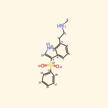 CNCCc1cccc2c(S(=O)(=O)c3ccccc3)c[nH]c12